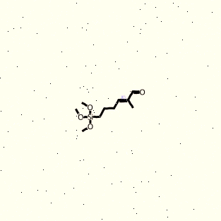 CO[Si](CCC/C=C(\C)[C]=O)(OC)OC